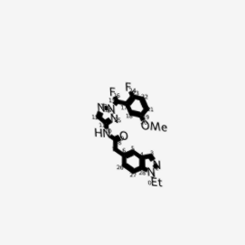 CCn1ncc2cc(CC(=O)Nc3cnn(C(F)c4cc(OC)ccc4F)n3)ccc21